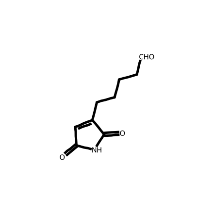 O=CCCCCC1=CC(=O)NC1=O